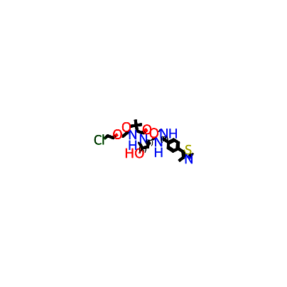 CN[C@H](NC(=O)[C@@H]1C[C@@H](O)CN1C(=O)C(NC(=O)COCCCl)C(C)(C)C)c1ccc(-c2scnc2C)cc1